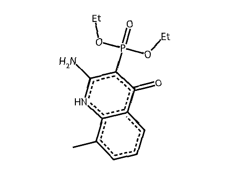 CCOP(=O)(OCC)c1c(N)[nH]c2c(C)cccc2c1=O